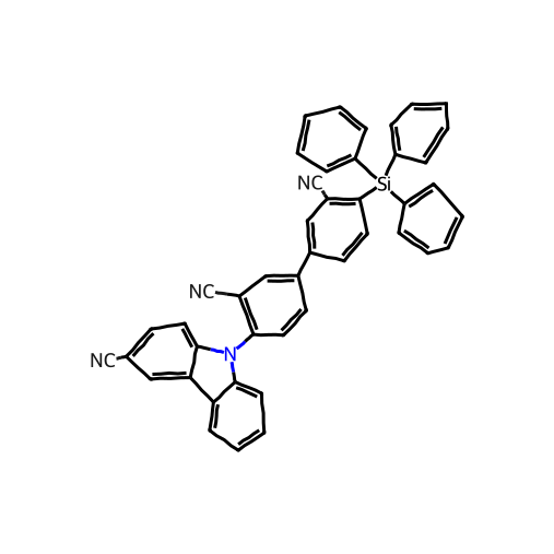 N#Cc1ccc2c(c1)c1ccccc1n2-c1ccc(-c2ccc([Si](c3ccccc3)(c3ccccc3)c3ccccc3)c(C#N)c2)cc1C#N